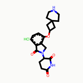 Cl.O=C1CCC(N2Cc3c(OC4CC5(CCNCC5)C4)cccc3C2=O)C(=O)N1